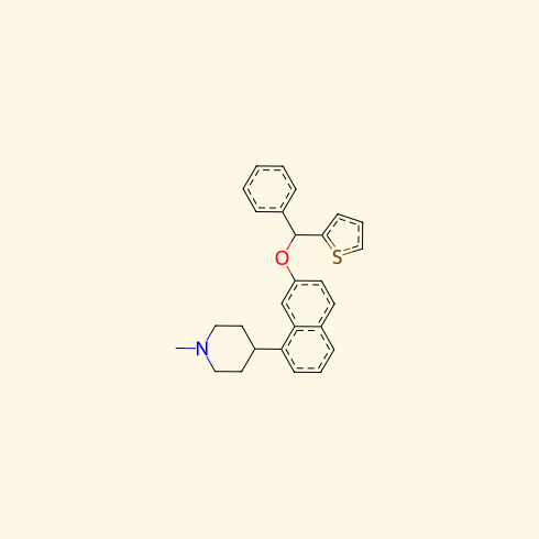 CN1CCC(c2cccc3ccc(OC(c4ccccc4)c4cccs4)cc23)CC1